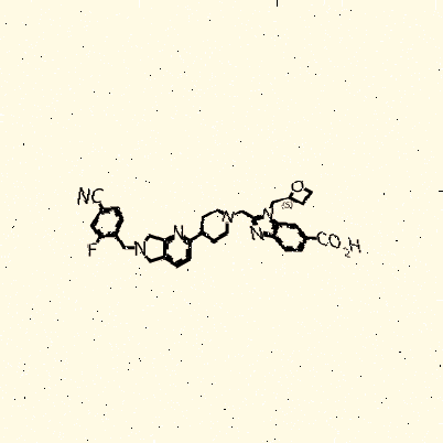 N#Cc1ccc(CN2Cc3ccc(C4CCN(Cc5nc6ccc(C(=O)O)cc6n5C[C@@H]5CCO5)CC4)nc3C2)c(F)c1